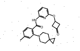 O=C1CC(Oc2cccc(NC(=O)c3ccc(I)cc3N3CCC4(CC3)CC4)n2)C1